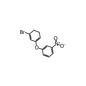 O=[N+]([O-])c1cccc(OC2=CC[CH]C(Br)=C2)c1